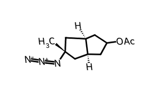 CC(=O)OC1C[C@@H]2C[C@@](C)(N=[N+]=[N-])C[C@@H]2C1